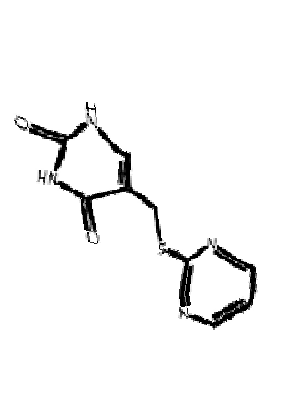 O=c1[nH]cc(CSc2ncccn2)c(=O)[nH]1